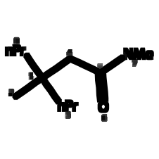 CCCC(C)(CCC)CC(=O)NC